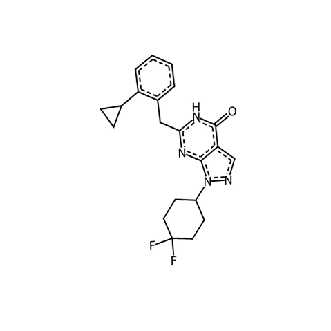 O=c1[nH]c(Cc2ccccc2C2CC2)nc2c1cnn2C1CCC(F)(F)CC1